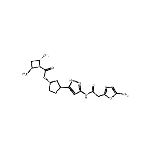 Cc1cnc(CC(=O)Nc2cc([C@H]3CC[C@@H](OC(=O)N4[C@@H](C)C[C@@H]4C)C3)[nH]n2)o1